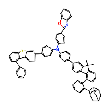 CC1(C)c2cc(-c3ccc(N(c4ccc(-c5ccc6c(c5)sc5cccc(-c7ccccc7)c56)cc4)c4ccc(-c5nc6ccccc6o5)cc4)cc3)ccc2-c2c(-c3ccccc3C3C4CC5CC(C4)C3C5)cccc21